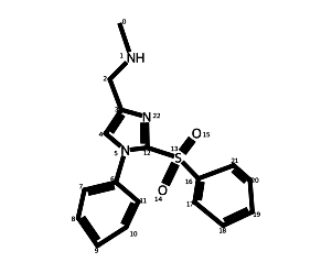 CNCc1cn(-c2ccccc2)c(S(=O)(=O)c2ccccc2)n1